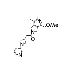 COCc1nc(C)c(C)c2c1CN(C(=O)CC1CN(c3cccnc3)C1)C2